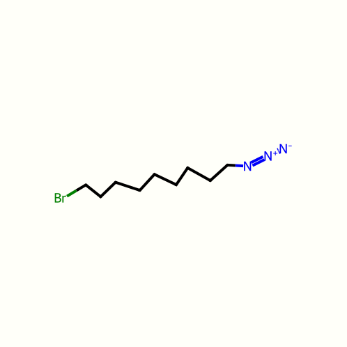 [N-]=[N+]=NCCCCCCCCCBr